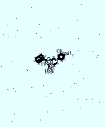 CCCC(NC(=O)C1C2CC3CC(C2)CC1C3)N1CCN(c2ccc(N)c(C(F)(F)F)c2)CC1.Cl.Cl